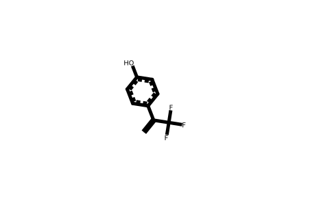 C=C(c1ccc(O)cc1)C(F)(F)F